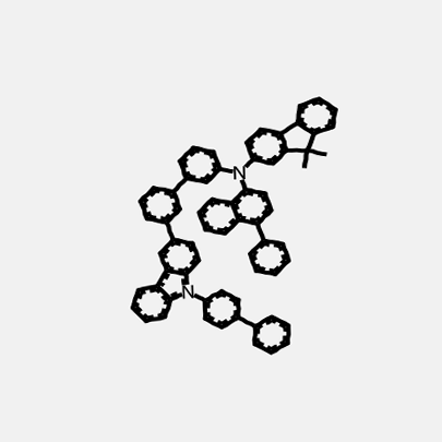 CC1(C)c2ccccc2-c2ccc(N(c3cccc(-c4cccc(-c5ccc6c(c5)c5ccccc5n6-c5ccc(-c6ccccc6)cc5)c4)c3)c3ccc(-c4ccccc4)c4ccccc34)cc21